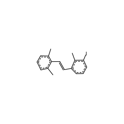 Cc1cccc(C)c1C=Cc1cccc(I)c1C